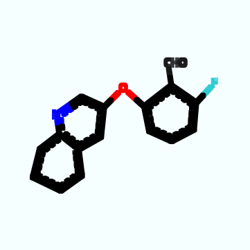 O=Cc1c(F)cccc1Oc1cnc2ccccc2c1